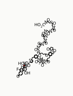 C[C@H](NC(=O)CCc1cc(F)c(N2C(=O)CCC2=O)cc1OCCCC(=O)N(C)CC(=O)N(C)CC(=O)N(C)CC(=O)N(C)CC(=O)N(C)CC(=O)N(C)CC(=O)N(C)CC(=O)N(C)CC(=O)N(C)CC(=O)N(C)CC(=O)O)C(=O)N[C@@H](C)C(=O)Nc1cccc(Cc2ccc([C@@H]3O[C@@H]4C[C@H]5[C@@H]6C[C@H](F)C7=CC(=O)C=C[C@]7(C)[C@@]6(F)[C@@H](O)C[C@]5(C)[C@]4(C(=O)CO)O3)s2)c1